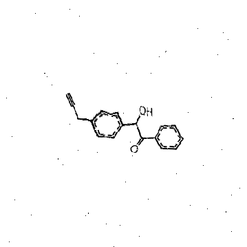 C#CCc1ccc(C(O)C(=O)c2ccccc2)cc1